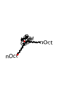 CCCCCCCCC=CCCCCCCCC(=O)OC[C@H](C)OC(=O)CCCCCCCC=CCCCCCCCC.C[N+](C)(C)CCOP(=O)(O)O